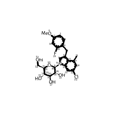 COc1ccc(Cc2cn([C@@H]3O[C@H](CO)[C@@H](O)[C@H](O)[C@H]3O)c3cc(Cl)cc(C)c23)c(F)c1